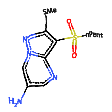 CCCCCS(=O)(=O)c1c(SC)nn2cc(N)cnc12